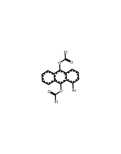 CCC(=O)Oc1c2ccccc2c(OC(=O)CC)c2c(C(C)=O)cccc12